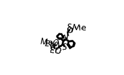 CCN(CC)OC(=O)C1Sc2ccccc2-c2c1c1c(OC)cccc1n2CCOSC